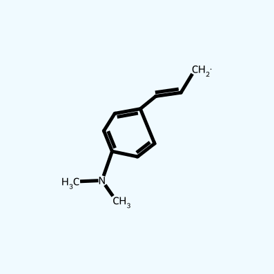 [CH2]C=Cc1ccc(N(C)C)cc1